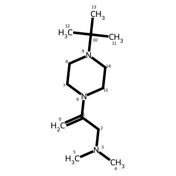 C=C(CN(C)C)N1CCN(C(C)(C)C)CC1